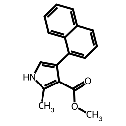 COC(=O)c1c(-c2cccc3ccccc23)c[nH]c1C